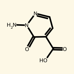 Nn1nccc(C(=O)O)c1=O